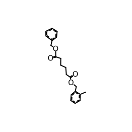 Cc1ccccc1COC(=O)CCCCC(=O)OCc1ccccc1